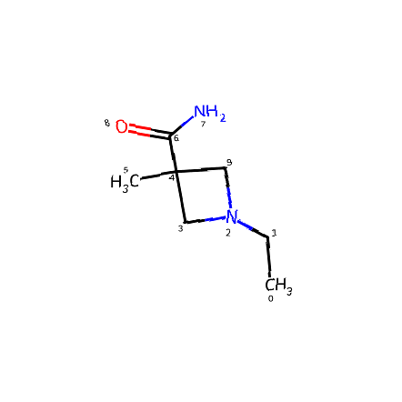 CCN1CC(C)(C(N)=O)C1